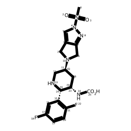 CS(=O)(=O)n1cc2c(n1)CN([C@@H]1CN[C@@H](c3cc(F)ccc3F)[C@@H](NC(=O)O)C1)C2